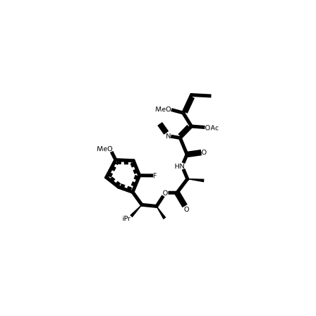 C=N/C(C(=O)N[C@@H](C)C(=O)O[C@@H](C)[C@H](c1ccc(OC)cc1F)C(C)C)=C(OC(C)=O)\C(=C/C)OC